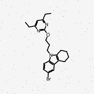 CCc1cc(CC)nc(OCCCn2c3c(c4cc(Br)ccc42)CCCC3)n1